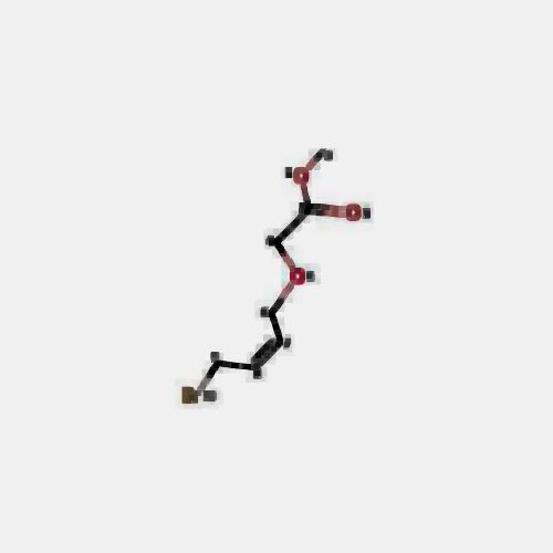 COC(=O)COC/C=C\CBr